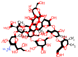 CC1C(O)[C@H](O[C@@H]2OC(CO)[C@H](O)C(O)[C@@H]2O)[C@H](CO)O[C@H]1O[C@@H]1C(O)[C@H](O)C(CO)O[C@@H]1OCC1O[C@@H](O[C@@H]2C(CO)O[C@@H](O[C@@H]3C(CO)O[C@@H](C)[C@@H](C)C3O)[C@@H](C)C2O)C(O)[C@@H](OC2O[C@H](CO)[C@@H](O)C(O)C2O[C@@H]2OC(CO)[C@@H](O[C@@H]3OC(C)[C@H](C(O)O)C(O[C@]4(C(=O)O)C[C@@H](O)[C@@H](N)C(C(O)[C@H](O)CO)O4)[C@@H]3O)C(O)[C@@H]2C)[C@@H]1O